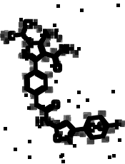 CC(C)n1nc(-c2ccc(CC(=O)Nc3cc(C45CCC(F)(CC4)CC5)no3)cc2)c(C(N)=O)c1N